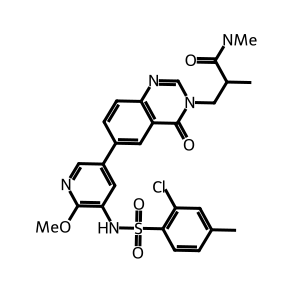 CNC(=O)C(C)Cn1cnc2ccc(-c3cnc(OC)c(NS(=O)(=O)c4ccc(C)cc4Cl)c3)cc2c1=O